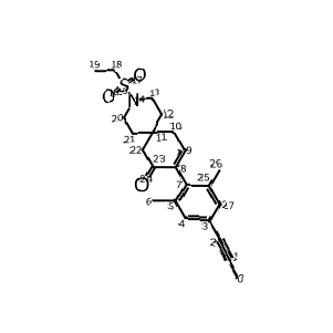 CC#Cc1cc(C)c(C2=[C]CC3(CCN(S(=O)(=O)CC)CC3)CC2=O)c(C)c1